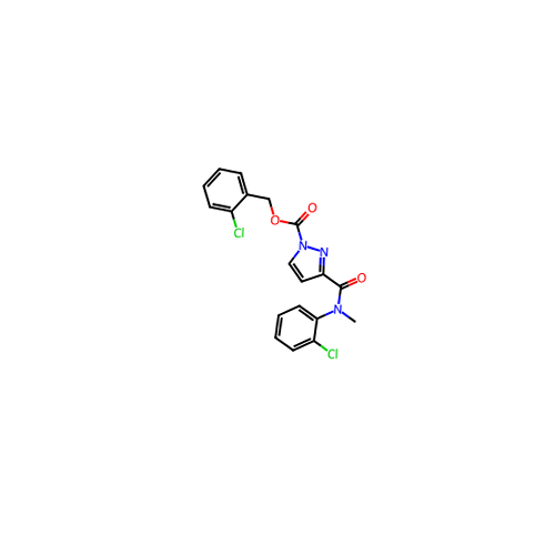 CN(C(=O)c1ccn(C(=O)OCc2ccccc2Cl)n1)c1ccccc1Cl